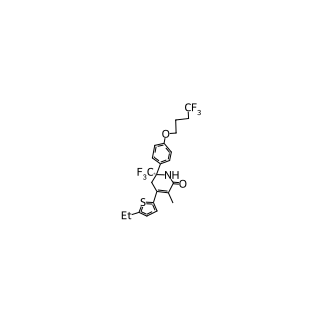 CCc1ccc(C2=C(C)C(=O)N[C@@](c3ccc(OCCCC(F)(F)F)cc3)(C(F)(F)F)C2)s1